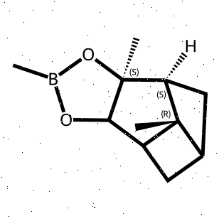 CB1OC2C3CC4C[C@@H]([C@]43C)[C@]2(C)O1